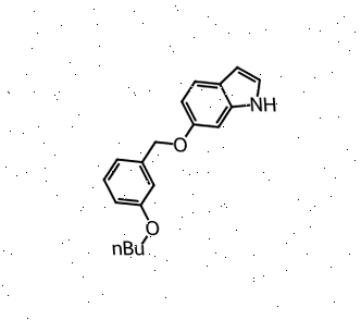 CCCCOc1cccc(COc2ccc3cc[nH]c3c2)c1